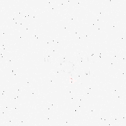 Cc1cc2c3c(c1)C(C)(C)CC3(C(F)(F)F)CO2